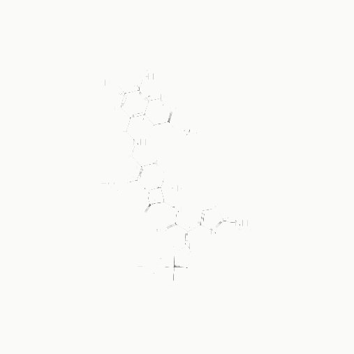 COC(=O)Cc1c(CNCC2=C(C(=O)O)N3C(=O)C(NC(=O)/C(=N\OC(C)(C)C(=O)O)c4csc(N)n4)[C@@H]3SC2)cc(O)c(O)c1Br